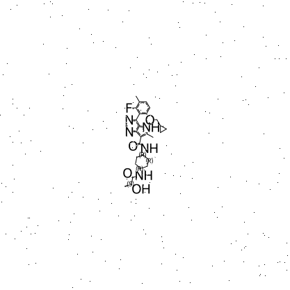 Cc1ccc(OCC2CC2)c(-c2ncnc3c(C(=O)N[C@@H]4CC[C@@H](NC(=O)[C@H](C)O)C[C@H]4C)c(C)[nH]c23)c1F